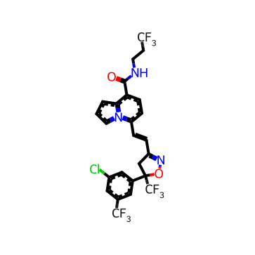 O=C(NCCC(F)(F)F)c1ccc(C=CC2=NOC(c3cc(Cl)cc(C(F)(F)F)c3)(C(F)(F)F)C2)n2cccc12